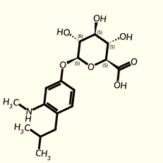 CNc1cc(O[C@@H]2O[C@H](C(=O)O)[C@@H](O)[C@H](O)[C@H]2O)ccc1CC(C)C